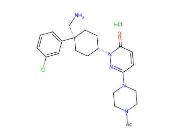 CC(=O)N1CCN(c2ccc(=O)n([C@H]3CC[C@](CN)(c4cccc(Cl)c4)CC3)n2)CC1.Cl